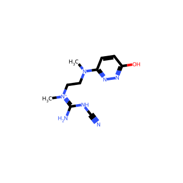 CN(CC[N+](C)=C(N)NC#N)c1ccc(O)nn1